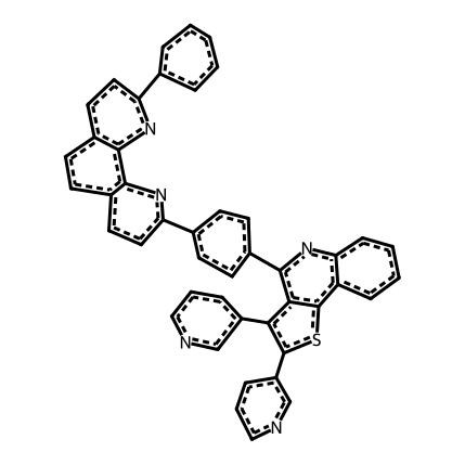 c1ccc(-c2ccc3ccc4ccc(-c5ccc(-c6nc7ccccc7c7sc(-c8cccnc8)c(-c8cccnc8)c67)cc5)nc4c3n2)cc1